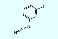 [N-]=[N+]=Nc1cccc(I)c1